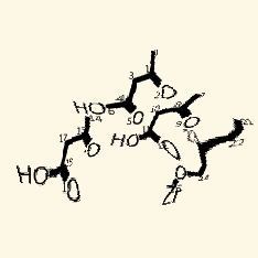 CC(=O)CC(=O)O.CC(=O)CC(=O)O.CC(=O)CC(=O)O.CCCC[O][Zr]